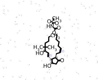 CCCCC(C)(C)[C@H](O)/C=C/[C@H]1[C@H](O)CC(=O)[C@@H]1C/C=C\CCCCOC(=O)NS(C)(=O)=O